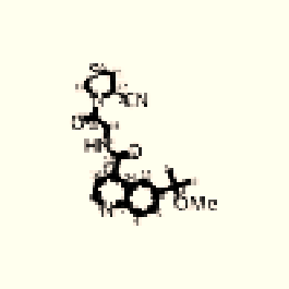 COC(C)(C)c1ccc2nccc(C(=O)NCC(=O)N3CSC[C@H]3C#N)c2c1